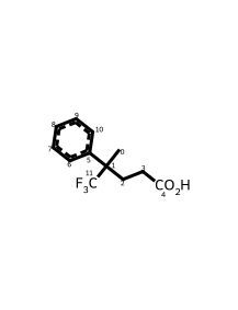 CC(CCC(=O)O)(c1ccccc1)C(F)(F)F